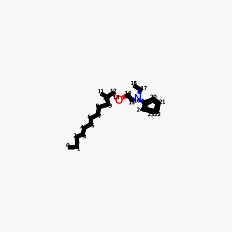 CCCCCCCCCCC(C)COCCN(CC)c1ccccc1